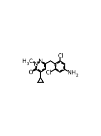 Cn1nc(Cc2c(Cl)cc(N)cc2Cl)cc(C2CC2)c1=O